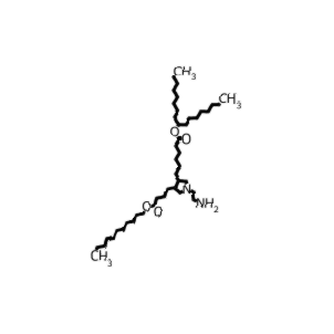 CCCCCCCCCCCOC(=O)CCCC1CN(CCN)CC1CCCCCC(=O)OC(CCCCCCCC)CCCCCCCC